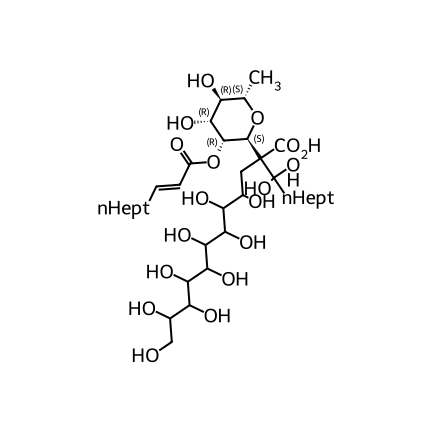 CCCCCCCC=CC(=O)O[C@@H]1[C@H](O)[C@@H](O)[C@H](C)O[C@H]1C(CC(O)C(O)C(O)C(O)C(O)C(O)C(O)C(O)CO)(C(=O)O)C(O)(O)CCCCCCC